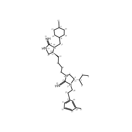 CCC(C)[C@H]1CN(CCCC[C@H]2CNC(=N)N2CC2CCC(C)CC2)C(=N)N1CCc1cccc(C)c1